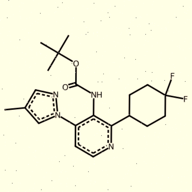 Cc1cnn(-c2ccnc(C3CCC(F)(F)CC3)c2NC(=O)OC(C)(C)C)c1